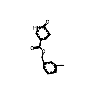 Cc1cccc(COC(=O)c2ccc(=O)[nH]c2)c1